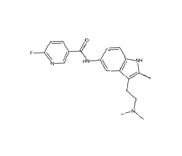 Cc1[nH]c2ccc(NC(=O)c3ccc(F)nc3)cc2c1CCN(C)C